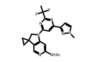 CC(=O)Nc1cc2c(cn1)C1(CC1)CN2c1cc(-c2ccn(C)n2)nc(C(C)(F)F)n1